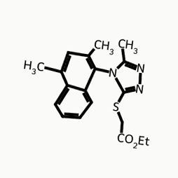 CCOC(=O)CSc1nnc(C)n1-c1c(C)cc(C)c2ccccc12